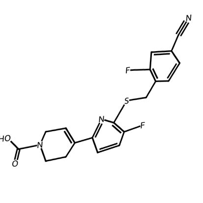 N#Cc1ccc(CSc2nc(C3=CCN(C(=O)O)CC3)ccc2F)c(F)c1